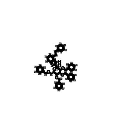 OC1(c2cc3c(CCc4ccccc4)cccc3s2)O[C@H](COCc2ccccc2)[C@@H](OCc2ccccc2)[C@H](OCc2ccccc2)[C@H]1OCc1ccccc1